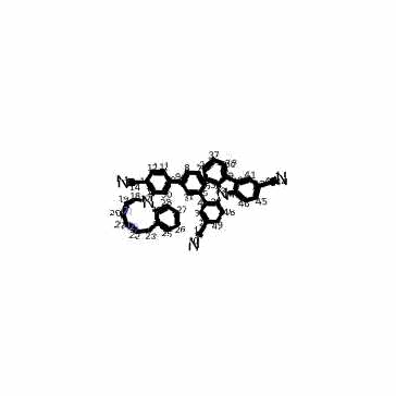 N#CC1=CC(c2cccc(-c3ccc(C#N)c(N4C/C=C\C=C/Cc5ccccc54)c3)c2)=C(n2c3ccccc3c3cc(C#N)ccc32)CC1